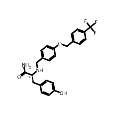 NC(=O)[C@H](Cc1ccc(O)cc1)NCc1ccc(OCc2ccc(C(F)(F)F)cc2)cc1